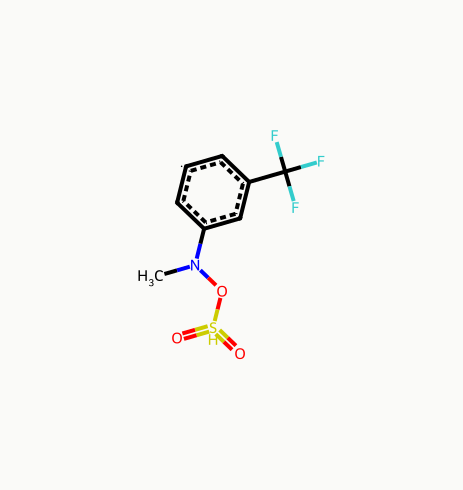 CN(O[SH](=O)=O)c1c[c]cc(C(F)(F)F)c1